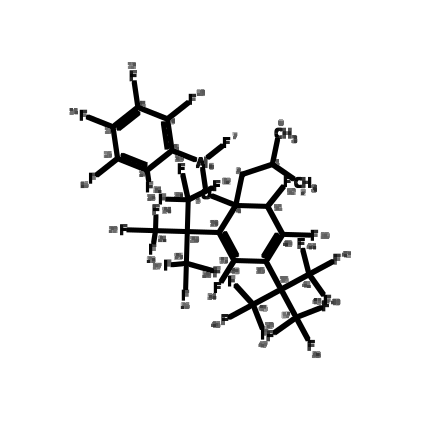 CC(C)CC1([O][Al]([F])[c]2c(F)c(F)c(F)c(F)c2F)C(C(C(F)(F)F)(C(F)(F)F)C(F)(F)F)=C(F)C(C(C(F)(F)F)(C(F)(F)F)C(F)(F)F)=C(F)C1F